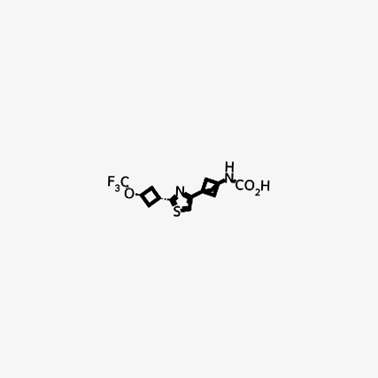 O=C(O)NC12CC(c3csc([C@H]4C[C@@H](OC(F)(F)F)C4)n3)(C1)C2